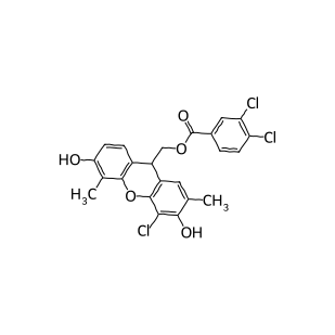 Cc1cc2c(c(Cl)c1O)Oc1c(ccc(O)c1C)C2COC(=O)c1ccc(Cl)c(Cl)c1